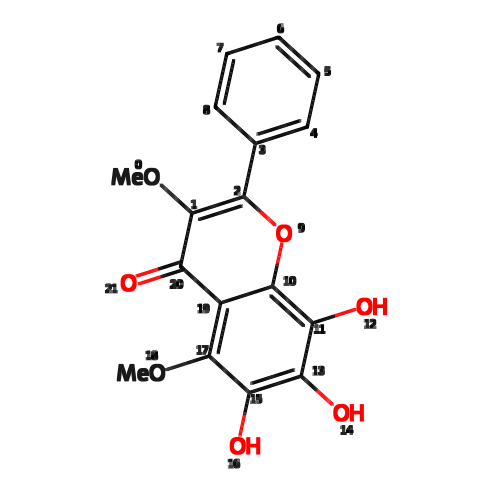 COc1c(-c2ccccc2)oc2c(O)c(O)c(O)c(OC)c2c1=O